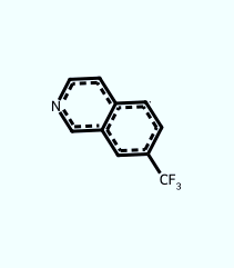 FC(F)(F)c1c[c]c2ccncc2c1